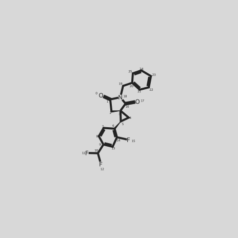 O=C1C[C@]2(C[C@H]2c2ccc(C(F)F)cc2F)C(=O)N1Cc1ccccc1